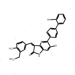 Cc1ccc(C=C2C(=O)Nc3cc(Cl)c(-c4ccc(-c5ccccc5O)cc4)nc32)cc1CC(=O)O